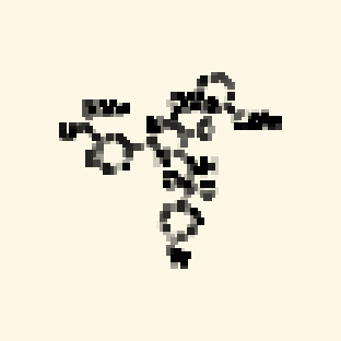 CNC(=O)c1cc(-c2nc(NS(=O)(=O)c3ccc(C(C)C)cn3)c(Oc3ccccc3OC)c(OC)n2)ccn1